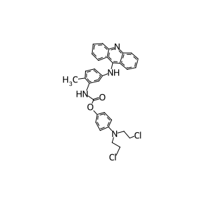 Cc1ccc(Nc2c3ccccc3nc3ccccc23)cc1NC(=O)Oc1ccc(N(CCCl)CCCl)cc1